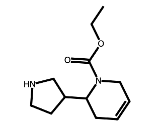 CCOC(=O)N1CC=CCC1C1CCNC1